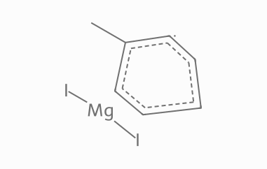 Cc1[c]cccc1.[I][Mg][I]